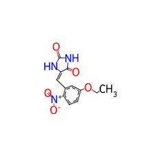 CCOc1ccc([N+](=O)[O-])c(C=C2NC(=O)NC2=O)c1